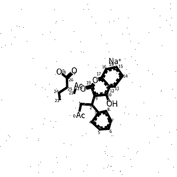 CC(=O)CC(c1ccccc1)c1c(O)c2ccccc2oc1=O.CC(C)=O.CCCC(=O)[O-].[Na+]